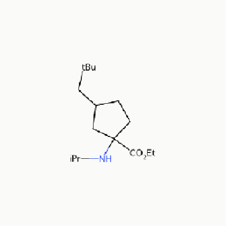 CCOC(=O)C1(NC(C)C)CCC(CC(C)(C)C)C1